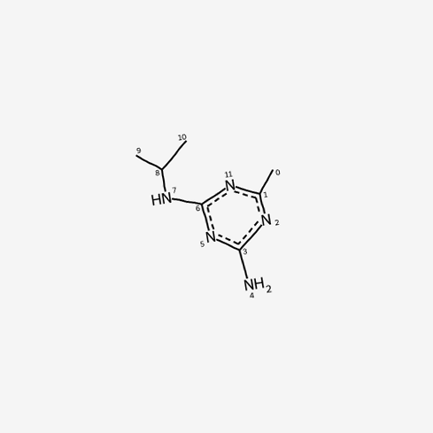 Cc1nc(N)nc(NC(C)C)n1